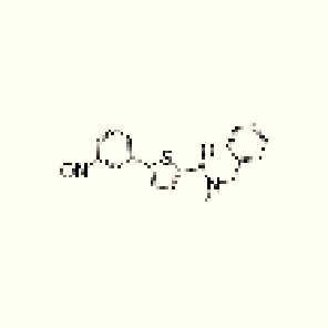 CN(Cc1ccccc1)C(=O)c1ccc(-c2cccc(N=O)c2)s1